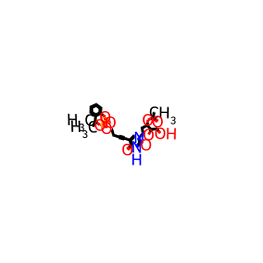 CC(=O)OC1CC(n2cc(C#CCCOP3(=O)Oc4ccccc4C(C)(C)O3)c(=O)[nH]c2=O)OC1CO